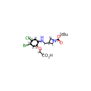 CC(C)(C)OC(=O)N1CC(CNc2cc(Cl)c(Br)cc2OCC(=O)O)C1